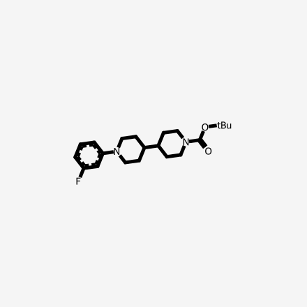 CC(C)(C)OC(=O)N1CCC(C2CCN(c3cccc(F)c3)CC2)CC1